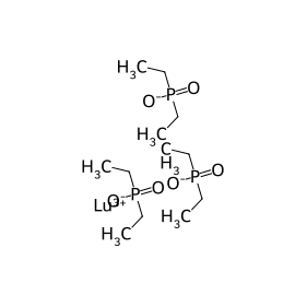 CCP(=O)([O-])CC.CCP(=O)([O-])CC.CCP(=O)([O-])CC.[Lu+3]